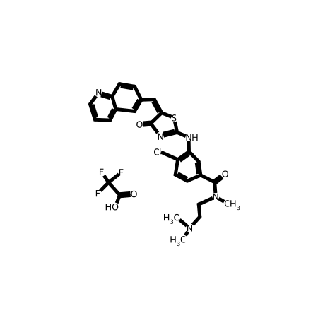 CN(C)CCN(C)C(=O)c1ccc(Cl)c(NC2=NC(=O)C(=Cc3ccc4ncccc4c3)S2)c1.O=C(O)C(F)(F)F